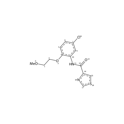 COCCOc1ccc(Cl)cc1NC(=O)c1cscn1